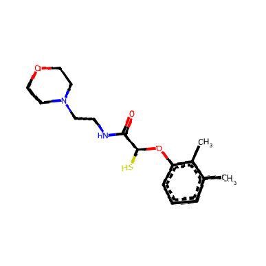 Cc1cccc(OC(S)C(=O)NCCN2CCOCC2)c1C